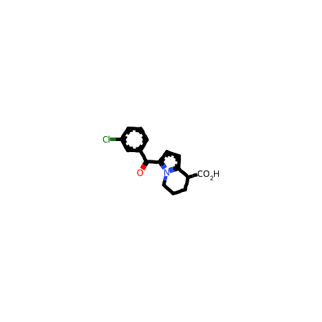 O=C(c1cccc(Cl)c1)c1ccc2n1CCCC2C(=O)O